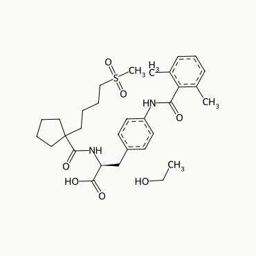 CCO.Cc1cccc(C)c1C(=O)Nc1ccc(C[C@H](NC(=O)C2(CCCCS(C)(=O)=O)CCCC2)C(=O)O)cc1